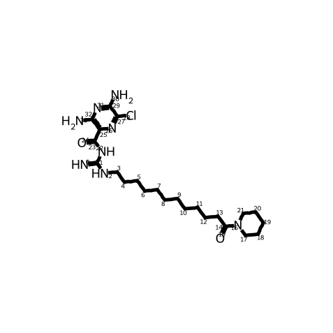 N=C(NCCCCCCCCCCCC(=O)N1CCCCC1)NC(=O)c1nc(Cl)c(N)nc1N